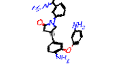 C=C(N)c1cccc(N2C[C@@H](c3ccc(N)c(Oc4cccc(N)c4)c3)CC2=O)c1